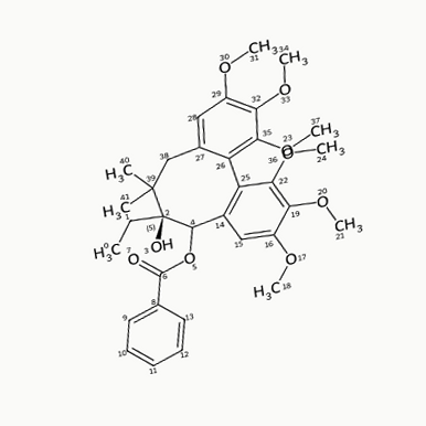 CC[C@@]1(O)C(OC(=O)c2ccccc2)c2cc(OC)c(OC)c(OC)c2-c2c(cc(OC)c(OC)c2OC)CC1(C)C